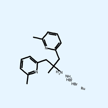 Br.Br.Cc1cccc(CC(C)(N)Cc2cccc(C)n2)n1.N.[Ru]